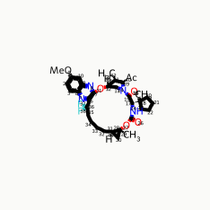 COc1ccc2nc3c(nc2c1)O[C@H]1CN(C(=O)[C@H](C2(C)CCCC2)NC(=O)O[C@]2(C)C[C@H]2CCCCC3(F)F)[C@H](C(C)=O)[C@@H]1C